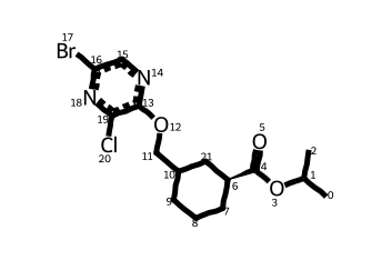 CC(C)OC(=O)[C@H]1CCCC(COc2ncc(Br)nc2Cl)C1